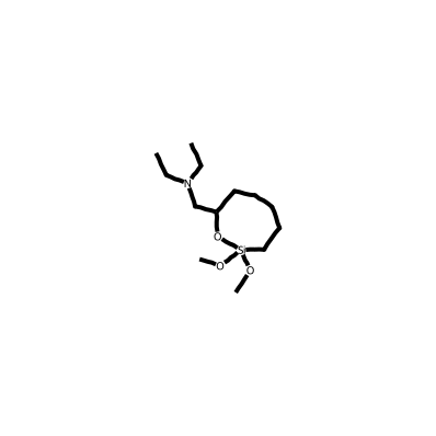 CCN(CC)CC1CCCCC[Si](OC)(OC)O1